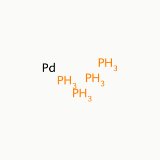 P.P.P.P.[Pd]